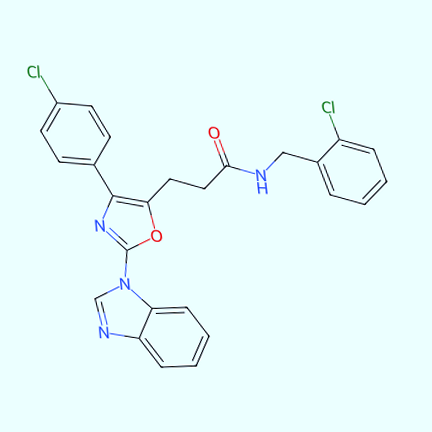 O=C(CCc1oc(-n2cnc3ccccc32)nc1-c1ccc(Cl)cc1)NCc1ccccc1Cl